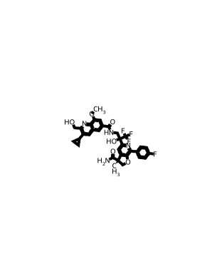 COc1cc(C(=O)NCC(O)(c2cc3c(c(-c4ccc(F)cc4)n2)OC[C@]3(C)C(N)=O)C(F)(F)F)cc2cc(C3CC3)c(CO)nc12